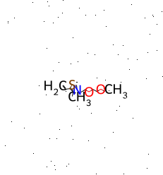 C=CC1=C(C)N(CCOCCOCC)CS1